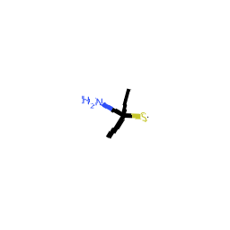 CC(C)(N)[S]